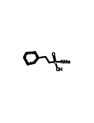 [CH2]NP(=O)(O)CCc1ccccc1